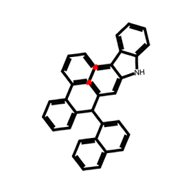 c1ccc(-c2ccccc2C(c2ccc3c(c2)[nH]c2ccccc23)c2cccc3ccccc23)cc1